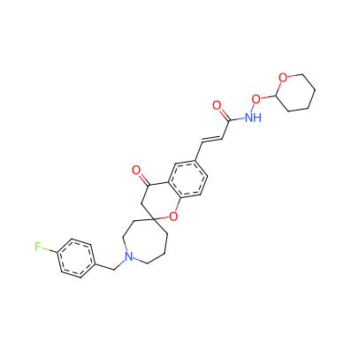 O=C(/C=C/c1ccc2c(c1)C(=O)CC1(CCCN(Cc3ccc(F)cc3)CC1)O2)NOC1CCCCO1